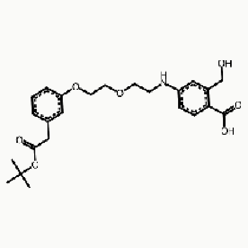 CC(C)(C)OC(=O)Cc1cccc(OCCOCCNc2ccc(C(=O)O)c(CO)c2)c1